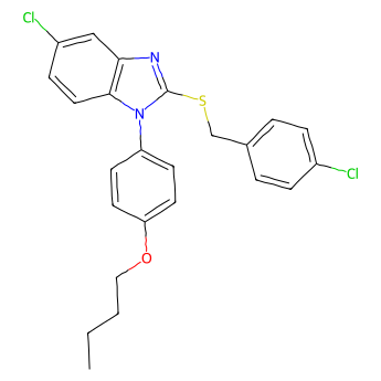 CCCCOc1ccc(-n2c(SCc3ccc(Cl)cc3)nc3cc(Cl)ccc32)cc1